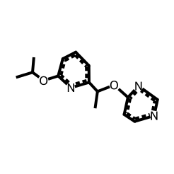 CC(C)Oc1cccc(C(C)Oc2ccncn2)n1